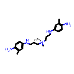 CCC[N+](C)(CCCNc1ccc(N)c(C)c1)CCCNc1ccc(N)c(C)c1